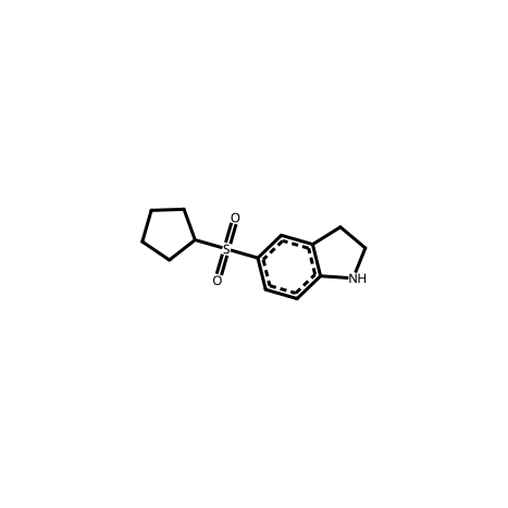 O=S(=O)(c1ccc2c(c1)CCN2)C1CCCC1